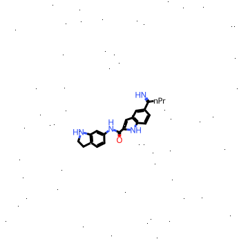 CCCC(=N)c1ccc2[nH]c(C(=O)Nc3ccc4c(c3)NCC4)cc2c1